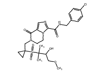 COCC(O)C(C)(C)S(=O)(=O)C1(CN2CCn3c(cnc3C(=O)NCc3ccc(Cl)cc3)C2=O)CC1